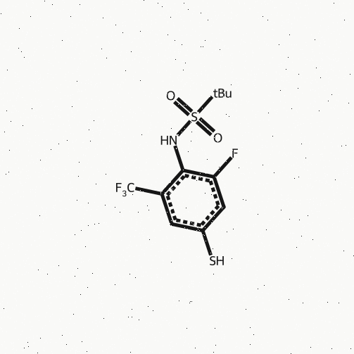 CC(C)(C)S(=O)(=O)Nc1c(F)cc(S)cc1C(F)(F)F